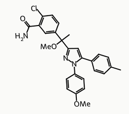 COc1ccc(-n2nc(C(C)(OC)c3ccc(Cl)c(C(N)=O)c3)cc2-c2ccc(C)cc2)cc1